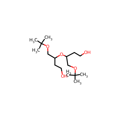 CC(C)(C)OCC(CCO)OC(CCO)COC(C)(C)C